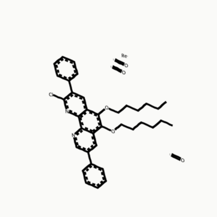 CCCCCCOc1c(OCCCCCC)c2cc(-c3ccccc3)c(Cl)nc2c2ncc(-c3ccccc3)cc12.[C]=O.[C]=O.[C]=O.[Re]